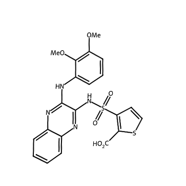 COc1cccc(Nc2nc3ccccc3nc2NS(=O)(=O)c2ccsc2C(=O)O)c1OC